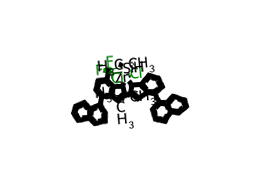 CC1=Cc2c(-c3cccc4ccccc34)ccc(C(F)(F)F)c2[CH]1[Zr]([Cl])([Cl])([CH]1C(C(C)C)=Cc2c(-c3cccc4ccccc34)cccc21)[SiH](C)C